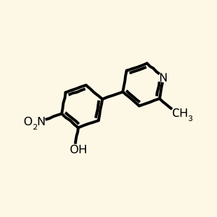 Cc1cc(-c2ccc([N+](=O)[O-])c(O)c2)ccn1